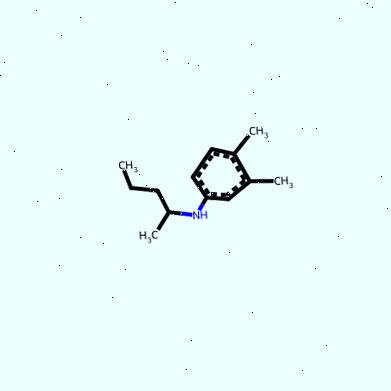 CCCC(C)Nc1ccc(C)c(C)c1